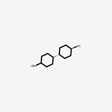 CCCCC1CCC([C@H]2CC[C@H](CCC)CC2)CC1